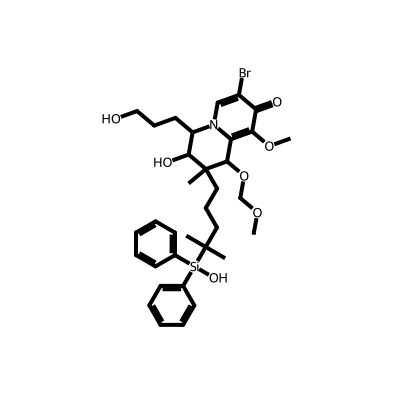 COCOC1c2c(OC)c(=O)c(Br)cn2C(CCCO)C(O)C1(C)CCCC(C)(C)[Si](O)(c1ccccc1)c1ccccc1